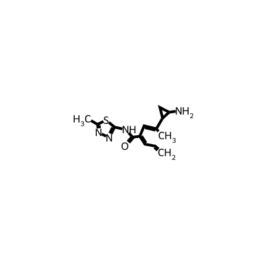 C=C/C=C(\C=C(/C)C1CC1N)C(=O)Nc1nnc(C)s1